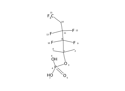 CC(C)(OP(=O)(O)O)C(F)(F)C(F)(F)CC(F)(F)F